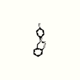 Fc1ccc([PH](=S)Cc2ccccc2F)cc1